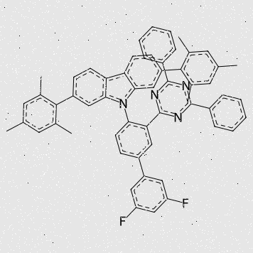 Cc1cc(C)c(-c2ccc3c4ccc(-c5c(C)cc(C)cc5C)cc4n(-c4ccc(-c5cc(F)cc(F)c5)cc4-c4nc(-c5ccccc5)nc(-c5ccccc5)n4)c3c2)c(C)c1